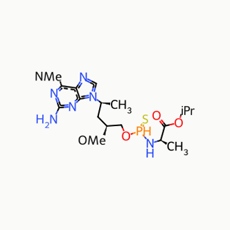 CNc1nc(N)nc2c1ncn2[C@@H](C)C[C@@H](CO[PH](=S)N[C@H](C)C(=O)OC(C)C)OC